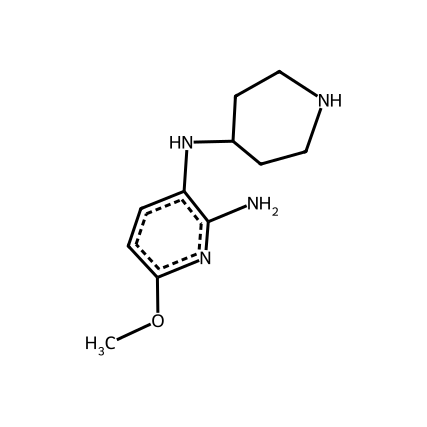 COc1ccc(NC2CCNCC2)c(N)n1